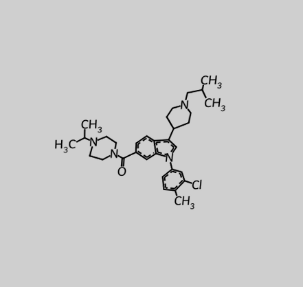 Cc1ccc(-n2cc(C3CCN(CC(C)C)CC3)c3ccc(C(=O)N4CCN(C(C)C)CC4)cc32)cc1Cl